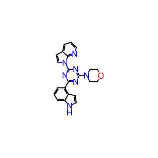 c1cnc2c(c1)ccn2-c1nc(-c2cccc3[nH]ccc23)nc(N2CCOCC2)n1